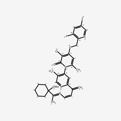 C=C(/C=C\N=C(/C)C1(OC)CCCCC1)c1cc(-n2c(C)cc(OCc3ncc(F)cc3F)c(Cl)c2=O)c(C)cn1